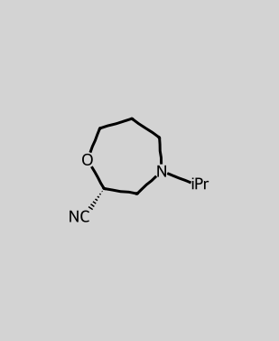 CC(C)N1CCCO[C@@H](C#N)C1